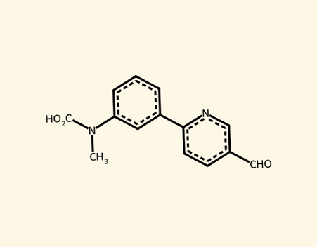 CN(C(=O)O)c1cccc(-c2ccc(C=O)cn2)c1